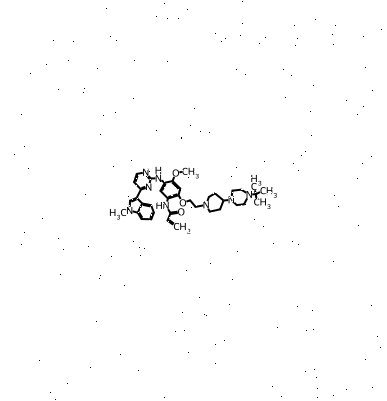 C=CC(=O)Nc1cc(Nc2nccc(-c3cn(C)c4ccccc34)n2)c(OC)cc1OCCN1CCC(N2CCN(C(C)(C)C)CC2)CC1